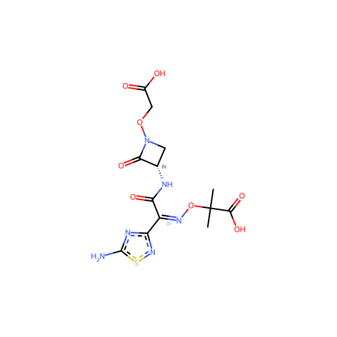 CC(C)(O/N=C(\C(=O)N[C@H]1CN(OCC(=O)O)C1=O)c1nsc(N)n1)C(=O)O